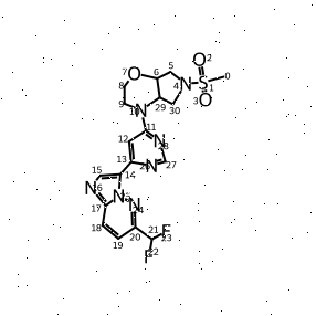 CS(=O)(=O)N1CC2OCCN(c3cc(-c4cnc5ccc(C(F)F)nn45)ncn3)C2C1